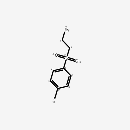 CC(C)CCS(=O)(=O)c1ccc(F)cc1